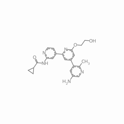 Cc1ncc(N)cc1-c1cc(OCCO)nc(-c2ccnc(NC(=O)C3CC3)c2)c1